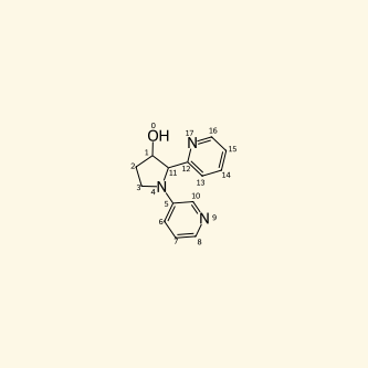 OC1CCN(c2cccnc2)C1c1ccccn1